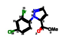 COC(=O)c1ccnn1-c1ccc(Cl)cc1Br